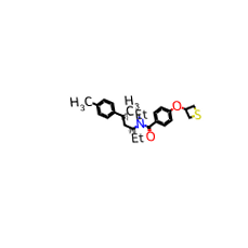 CC[C@H](C[C@@H](C)c1ccc(C)cc1)N(CC)C(=O)c1ccc(OC2CSC2)cc1